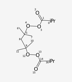 CC(C)C(=O)OOC(C)(C)CC(C)(C)OOC(=O)C(C)C